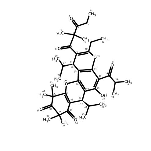 CCC(=O)C(C)(C)C(=O)C1=C(CC)Oc2c(C(=O)C(C)C)c(O)c3c(c2[C@H]1C(C)C)OC1=C(C(=O)C(C)(C)C(=O)C1(C)C)[C@@H]3C(C)C